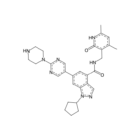 Cc1cc(C)c(CNC(=O)c2cc(-c3cnc(N4CCNCC4)nc3)cc3c2cnn3C2CCCC2)c(=O)[nH]1